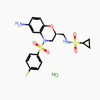 Cl.Nc1ccc2c(c1)N(S(=O)(=O)c1ccc(F)cc1)C[C@H](CNS(=O)(=O)C1CC1)O2